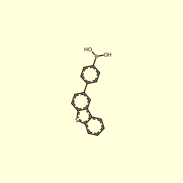 OB(O)c1ccc(-c2ccc3sc4ccccc4c3c2)cc1